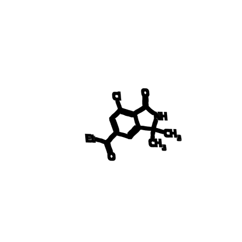 CCC(=O)c1cc(Cl)c2c(c1)C(C)(C)NC2=O